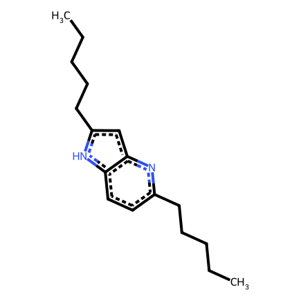 CCCCCc1ccc2[nH]c(CCCCC)cc2n1